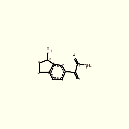 C=C(C(N)=O)c1ccc2c(c1)C(O)CC2